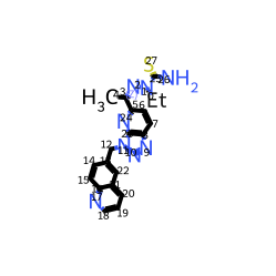 CCN(/N=C(/C)c1ccc2nnn(Cc3ccc4ncccc4c3)c2n1)C(N)=S